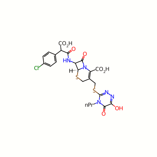 CCCn1c(SCC2=C(C(=O)O)N3C(=O)C(NC(=O)C(C(=O)O)c4ccc(Cl)cc4)[C@@H]3SC2)nnc(O)c1=O